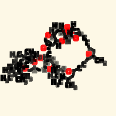 C=C1CC2CC[C@@]34C[C@H]5O[C@H]6[C@@H](O3)[C@H]3OC(CC[C@@H]3O[C@H]6[C@H]5O4)CC(=O)C[C@@H]3[C@@H](OC)[C@@H](C[C@@H](CO[Si](C)(C)C(C)(C)C)O[Si](C)(C)C(C)(C)C)O[C@H]3C[C@H]3OC(CCC1O2)C[C@@H](C)C3(C)C